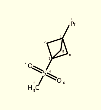 CC(C)C12CC(S(C)(=O)=O)(C1)C2